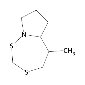 CC1CSCSN2CCCC12